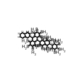 Bc1c(B)c(B)c(-c2c(B)c(B)c3c(B)c(-c4c5c(B)c(B)c(B)c(B)c5c(-c5ccc6ccccc6c5)c5c(B)c(B)c(B)c(B)c45)c(B)c(B)c3c2B)c(B)c1B